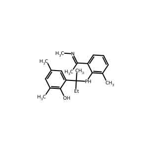 CCC(C)(Pc1c(C)cccc1/C(C)=N/C)c1cc(C)cc(C)c1O